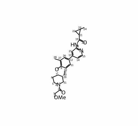 COCC(=O)N1CC[C@H](Oc2ccc(-c3ccnc(NC(=O)C4CC4C)c3)cc2C)[C@H](F)C1